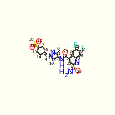 Cc1nn(Cc2ccc(S(C)(=O)=O)cc2)c(C)c1NC(=O)c1cc(C(N)=O)nc2cc(F)c(F)cc12